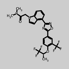 C[C@H](Oc1ccc(-c2nc(-c3cccc4c3ccn4CC(=O)N(C)C)no2)cc1C(F)(F)F)C(F)(F)F